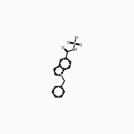 CCS(=O)(=O)NC(=O)c1ccc2c(ccn2Cc2ccccc2)c1